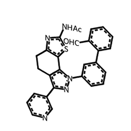 CC(=O)Nc1nc2c(s1)-c1c(c(-c3cccnc3)nn1-c1cccc(-c3ccccc3C=O)c1)CC2